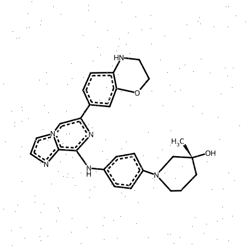 C[C@@]1(O)CCCN(c2ccc(Nc3nc(-c4ccc5c(c4)OCCN5)cn4ccnc34)cc2)C1